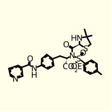 CCOC(=O)[C@H](Cc1ccc(NC(=O)c2cccnc2)cc1)N(C(=O)[C@H]1NC(C)(C)CS1)S(=O)(=O)c1ccc(C)cc1